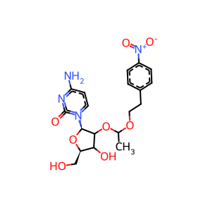 CC(OCCc1ccc([N+](=O)[O-])cc1)OC1C(O)[C@@H](CO)O[C@H]1n1ccc(N)nc1=O